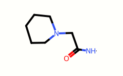 [NH]C(=O)CN1CCCCC1